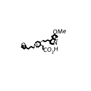 COc1ccc2nccc(CCC[C@@H]3CCN(CCCc4ccoc4)C[C@@H]3CCC(=O)O)c2c1